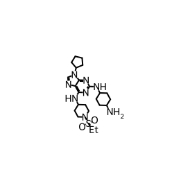 CCS(=O)(=O)N1CCC(Nc2nc(NC3CCC(N)CC3)nc3c2ncn3C2CCCC2)CC1